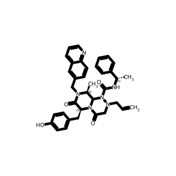 C=CCN1CC(=O)N2C([C@H](C)N(Cc3ccc4ncccc4c3)C(=O)[C@@H]2Cc2ccc(O)cc2)N1C(=O)N[C@@H](C)c1ccccc1